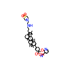 C=C(C)[C@H](CCCNCCN1CCS(=O)(=O)CC1)[C@H]1CCC[C@]2(C)[C@@H]1CC[C@@H]1[C@@]3(C)CC=C(C4=CC[C@@](COc5ncccc5C#N)(C(=O)O)CC4)C(C)(C)[C@@H]3CC[C@]12C